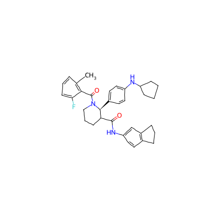 Cc1cccc(F)c1C(=O)N1CCCC(C(=O)Nc2ccc3c(c2)CCC3)[C@@H]1c1ccc(NC2CCCC2)cc1